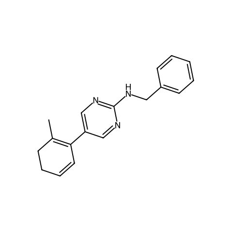 CC1=C(c2cnc(NCc3ccccc3)nc2)C=CCC1